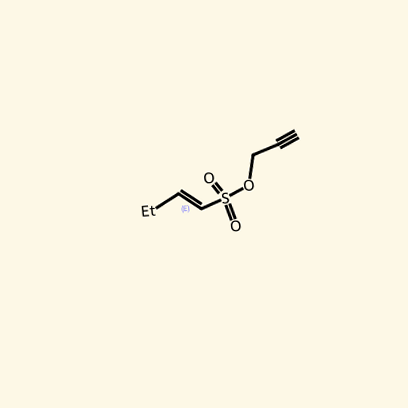 C#CCOS(=O)(=O)/C=C/CC